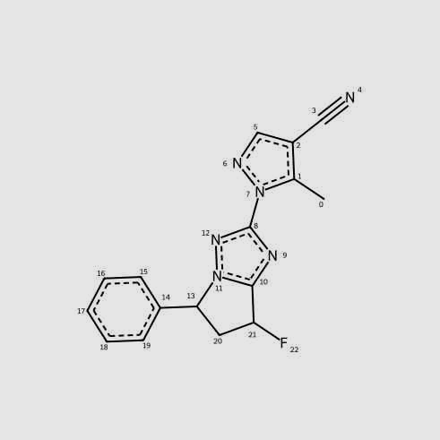 Cc1c(C#N)cnn1-c1nc2n(n1)C(c1ccccc1)CC2F